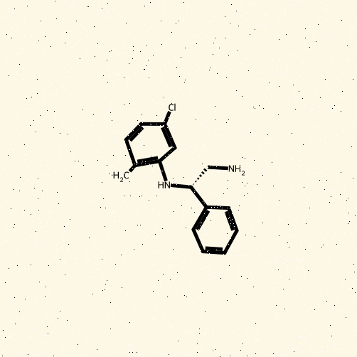 [CH2]c1ccc(Cl)cc1N[C@H](CN)c1ccccc1